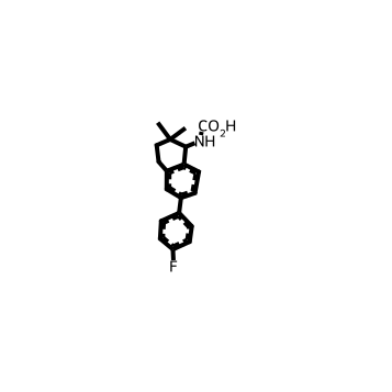 CC1(C)CCc2cc(-c3ccc(F)cc3)ccc2C1NC(=O)O